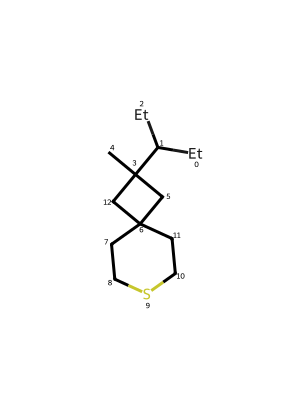 CCC(CC)C1(C)CC2(CCSCC2)C1